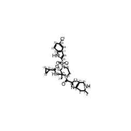 CC1Cc2nc(C(=O)N3CCN(S(=O)(=O)c4cc5cc(Cl)ccc5[nH]4)CC3(C)NC(=O)C3CC3)oc2CN1